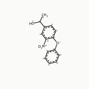 CC(O)c1ccc(Oc2ccccc2)c([N+](=O)[O-])c1